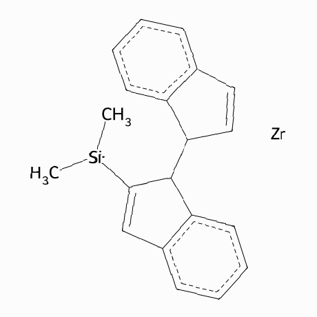 C[Si](C)C1=Cc2ccccc2C1C1C=Cc2ccccc21.[Zr]